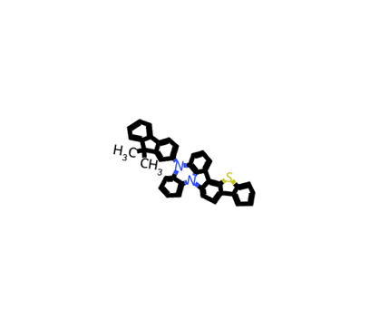 CC1(C)c2ccccc2-c2ccc(N3c4ccccc4-n4c5ccc6c7ccccc7sc6c5c5cccc3c54)cc21